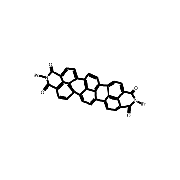 CC(C)N1C(=O)c2ccc3c4ccc5c6ccc7c8c(ccc(c9ccc(c%10ccc(c2c3%10)C1=O)c4c59)c86)C(=O)N(C(C)C)C7=O